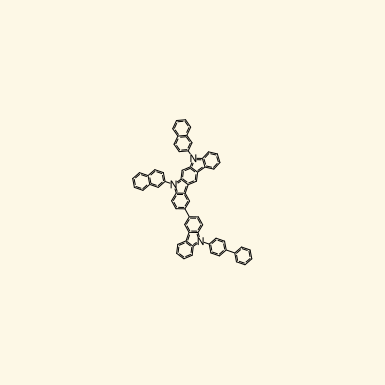 c1ccc(-c2ccc(-n3c4ccccc4c4cc(-c5ccc6c(c5)c5cc7c8ccccc8n(-c8ccc9ccccc9c8)c7cc5n6-c5ccc6ccccc6c5)ccc43)cc2)cc1